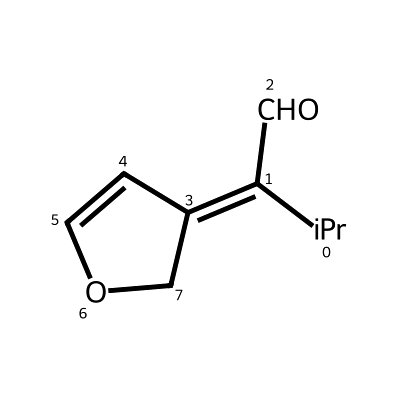 CC(C)C(C=O)=C1C=COC1